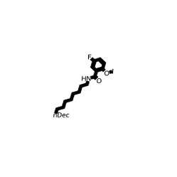 CCCCCCCCCCCCCCCCCCNC(=O)c1cc(F)ccc1OI